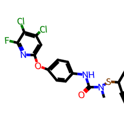 C#CC(C)SN(C)C(=O)Nc1ccc(Oc2cc(Cl)c(Cl)c(F)n2)cc1